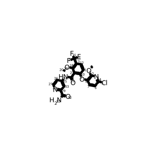 COc1nc(Cl)ccc1Oc1ccc(C(F)(F)F)c(OC)c1C(=O)Nc1ccnc(C(N)=O)c1